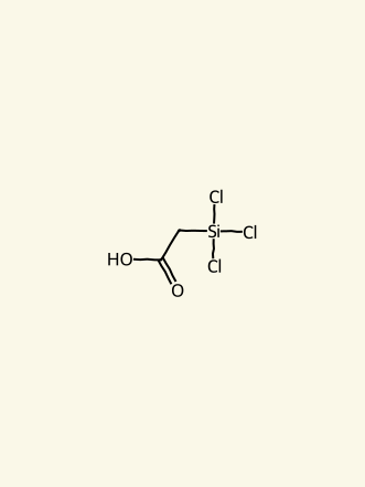 O=C(O)C[Si](Cl)(Cl)Cl